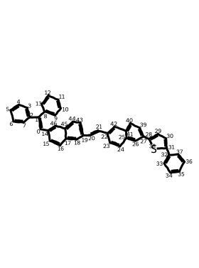 C(=C(c1ccccc1)c1ccccc1)c1ccc2cc(/C=C/c3ccc4cc(-c5ccc(-c6ccccc6)s5)ccc4c3)ccc2c1